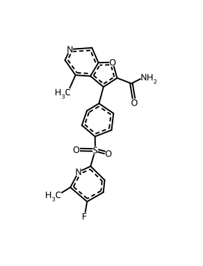 Cc1nc(S(=O)(=O)c2ccc(-c3c(C(N)=O)oc4cncc(C)c34)cc2)ccc1F